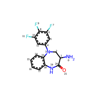 NC1CN(c2cc(F)c(F)c(F)c2)c2ccccc2NC1=O